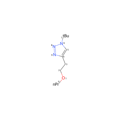 CCCOCCc1cn(C(C)(C)C)nn1